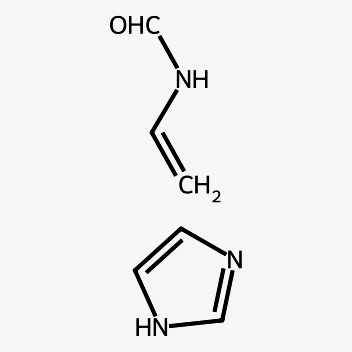 C=CNC=O.c1c[nH]cn1